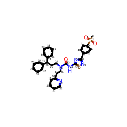 CS(=O)(=O)c1ccc(-c2nsc(NC(=O)N(CCc3ccccn3)CCC(c3ccccc3)c3ccccc3)n2)cc1